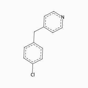 Clc1ccc(Cc2ccncc2)cc1